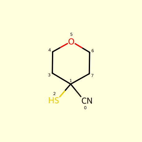 N#CC1(S)CCOCC1